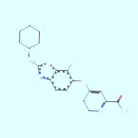 CNC(=O)C1=NCCC(Oc2ccc3nc(N[C@@H]4CCCC[C@H]4O)sc3c2Cl)=C1